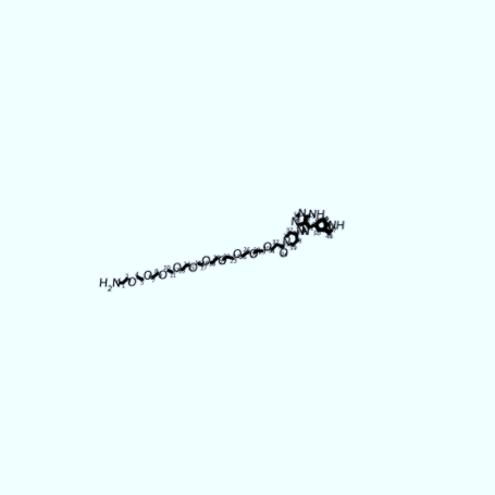 NCCOCCOCCOCCOCCOCCOCCOCCOCCOCCOCCC(=O)N1CCC(n2nc(-c3ccc4[nH]ccc4c3)c3c(N)ncnc32)CC1